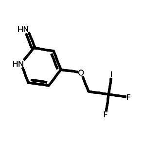 N=c1cc(OCC(F)(F)I)cc[nH]1